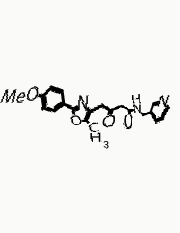 COc1ccc(-c2nc(CC(=O)CC(=O)NCc3cccnc3)c(C)o2)cc1